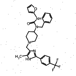 Cc1[nH]c(-c2ccc(C(F)(F)F)cc2)nc1CN1CCC(N(Cc2ccccc2)C(=O)Nc2ccco2)CC1